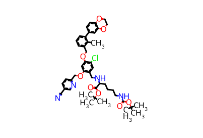 Cc1c(COc2cc(OCc3ccc(C#N)cn3)c(CNC(CCCCNC(=O)OC(C)(C)C)C(=O)OC(C)(C)C)cc2Cl)cccc1-c1ccc2c(c1)OCCO2